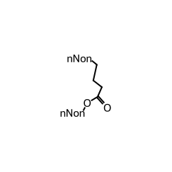 CCCCCCCCCCCCC(=O)OCCCCCCCCC